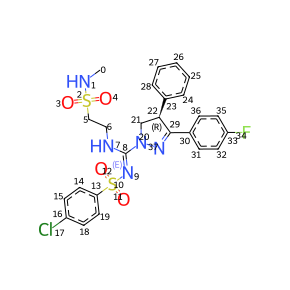 CNS(=O)(=O)CCN/C(=N\S(=O)(=O)c1ccc(Cl)cc1)N1C[C@@H](c2ccccc2)C(c2ccc(F)cc2)=N1